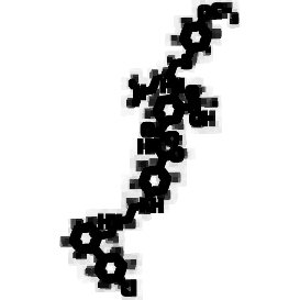 CN(C)CC[C@H](CSc1ccc(OC(F)(F)F)cc1)Nc1ccc(S(=O)(=O)NC(=O)c2ccc(NCCNCc3ccccc3-c3ccc(Cl)cc3)cc2)cc1[N+](C)([O-])O